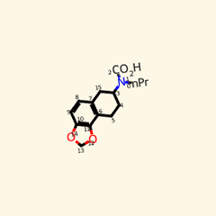 CCCN(C(=O)O)C1CCc2c(ccc3c2OCO3)C1